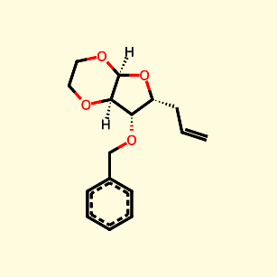 C=CC[C@H]1O[C@@H]2OCCO[C@@H]2[C@H]1OCc1ccccc1